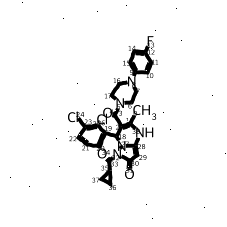 CC1=C(C(=O)N2CCN(c3ccc(F)cc3)CC2)C(c2cccc(Cl)c2Cl)n2c(cc(=O)n2C(=O)C2CC2)N1